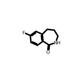 O=C1NCCCc2cc(F)ccc21